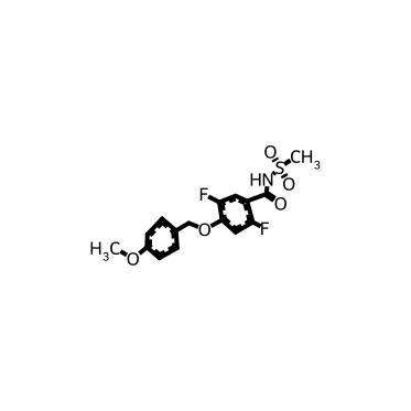 COc1ccc(COc2cc(F)c(C(=O)NS(C)(=O)=O)cc2F)cc1